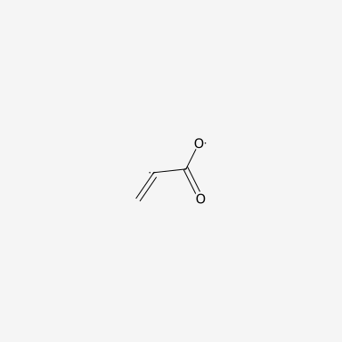 C=[C]C([O])=O